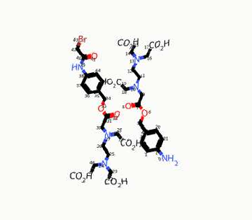 Nc1ccc(COC(=O)CN(CCN(CC(=O)O)CC(=O)O)CC(=O)O)cc1.O=C(O)CN(CCN(CC(=O)O)CC(=O)OCc1ccc(NC(=O)CBr)cc1)CC(=O)O